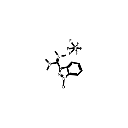 CN(C)C(n1n[n+]([O-])c2ccccc21)=[N+](C)C.F[P-](F)(F)(F)(F)F